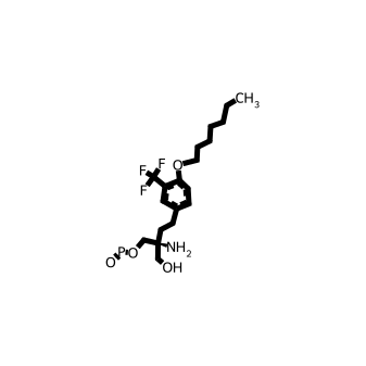 CCCCCCCOc1ccc(CC[C@](N)(CO)COP=O)cc1C(F)(F)F